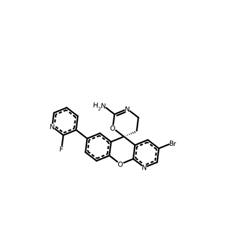 NC1=NCC[C@@]2(O1)c1cc(-c3cccnc3F)ccc1Oc1ncc(Br)cc12